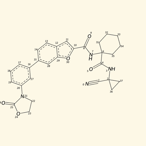 N#CC1(NC(=O)C2(NC(=O)c3cc4ccc(-c5cccc(N6CCOC6=O)c5)cc4o3)CCCCC2)CC1